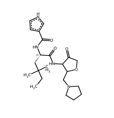 CCC(C)(C)C[C@H](NC(=O)c1cc[nH]c1)C(=O)NC1C(=O)COC1CN1CCCC1